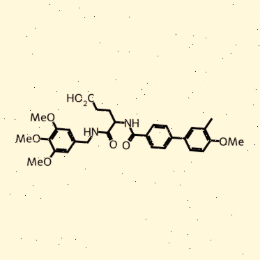 COc1ccc(-c2ccc(C(=O)NC(CCC(=O)O)C(=O)NCc3cc(OC)c(OC)c(OC)c3)cc2)cc1C